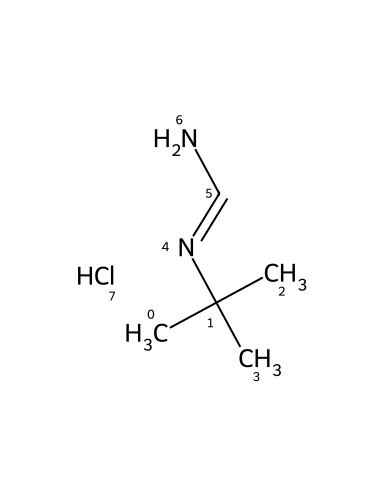 CC(C)(C)N=CN.Cl